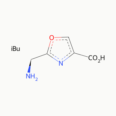 CC[C@H](C)[C@H](N)c1nc(C(=O)O)co1